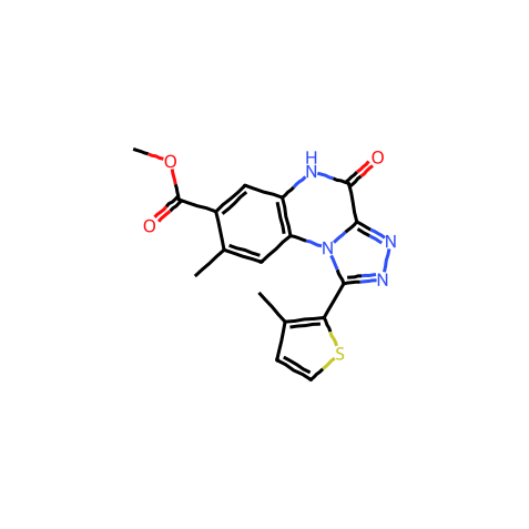 COC(=O)c1cc2[nH]c(=O)c3nnc(-c4sccc4C)n3c2cc1C